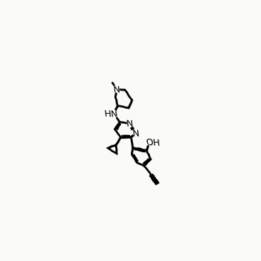 C#Cc1ccc(-c2nnc(NC3CCCN(C)C3)cc2C2CC2)c(O)c1